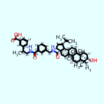 C=C(C)[C@@H]1CC[C@]2(C(=O)NCc3cccc(C(=O)NCC(C)c4cccc(C(=O)O)c4)c3)CC[C@]3(C)C(CCC4[C@@]5(C)CC[C@H](O)C(C)(C)C5CC[C@]43C)C12